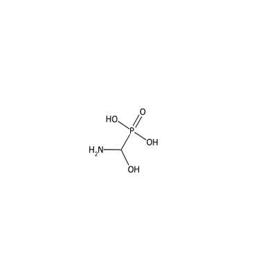 NC(O)P(=O)(O)O